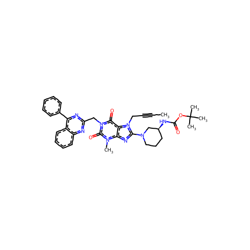 CC#CCn1c(N2CCC[C@H](NC(=O)OC(C)(C)C)C2)nc2c1c(=O)n(Cc1nc(-c3ccccc3)c3ccccc3n1)c(=O)n2C